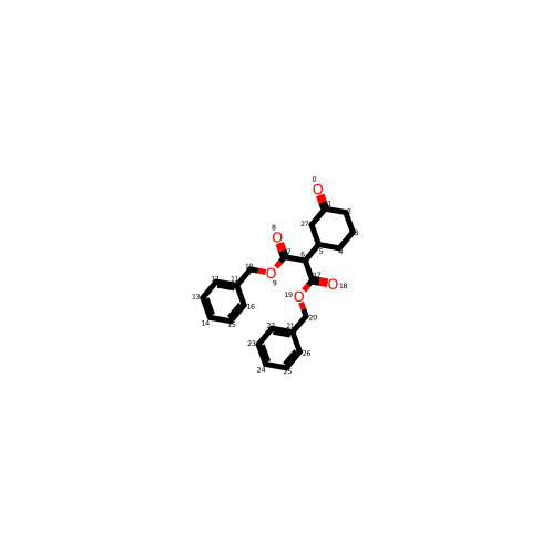 O=C1CCCC(C(C(=O)OCc2ccccc2)C(=O)OCc2ccccc2)C1